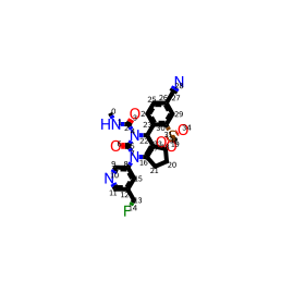 CNC(=O)N1C(=O)N(c2cncc(CF)c2)C2=C(C(=O)CC2)C1c1ccc(C#N)cc1S(C)(=O)=O